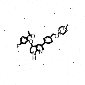 CC(=O)c1ccc(F)cc1OC1CCNc2ncc(-c3ccc(CON4CCN(C)CC4)cc3)cc21